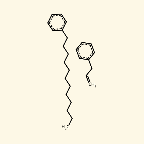 C=CCc1ccccc1.CCCCCCCCCCCCc1ccccc1